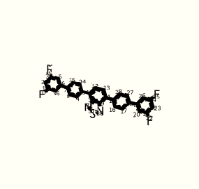 Fc1cc(F)cc(-c2ccc(-c3ccc(-c4ccc(-c5cc(F)cc(F)c5)cc4)c4nsnc34)cc2)c1